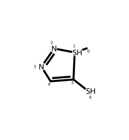 C[SH]1N=NC=C1S